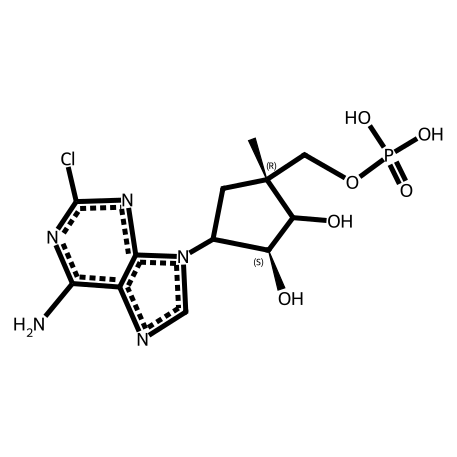 C[C@]1(COP(=O)(O)O)CC(n2cnc3c(N)nc(Cl)nc32)[C@H](O)C1O